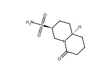 NS(=O)(=O)[C@H]1CC[C@H]2CCCC(=O)N2C1